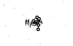 CC1(C)OB(c2cc(-c3ccccc3)ccc2-c2nc3ccc4ccccc4c3o2)OC1(C)C